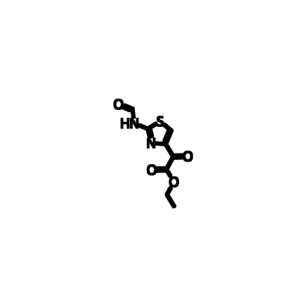 CCOC(=O)C(=O)c1csc(NC=O)n1